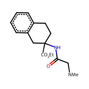 CCOC(=O)C1(NC(=O)CNC)CCc2ccccc2C1